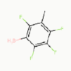 Bc1c(F)c(C)c(F)c(F)c1F